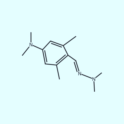 Cc1cc(N(C)C)cc(C)c1C=NN(C)C